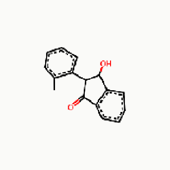 Cc1ccccc1C1C(=O)c2ccccc2C1O